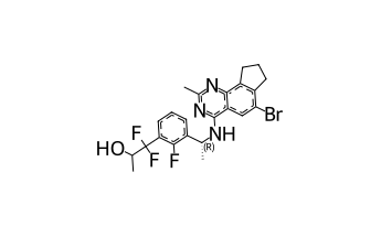 Cc1nc(N[C@H](C)c2cccc(C(F)(F)C(C)O)c2F)c2cc(Br)c3c(c2n1)CCC3